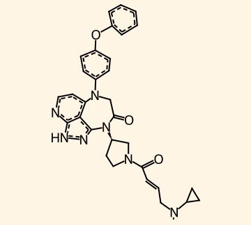 CN(C/C=C/C(=O)N1CC[C@@H](N2C(=O)CN(c3ccc(Oc4ccccc4)cc3)c3ccnc4[nH]nc2c34)C1)C1CC1